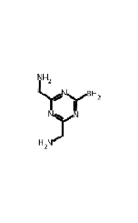 Bc1nc(CN)nc(CN)n1